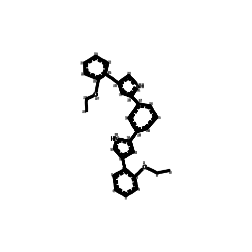 CCOc1ccccc1-c1c[nH]c(-c2cccc(-c3cc(-c4ccccc4OCC)c[nH]3)c2)c1